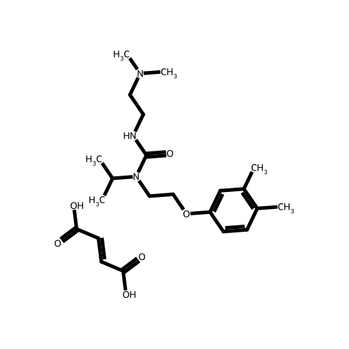 Cc1ccc(OCCN(C(=O)NCCN(C)C)C(C)C)cc1C.O=C(O)/C=C/C(=O)O